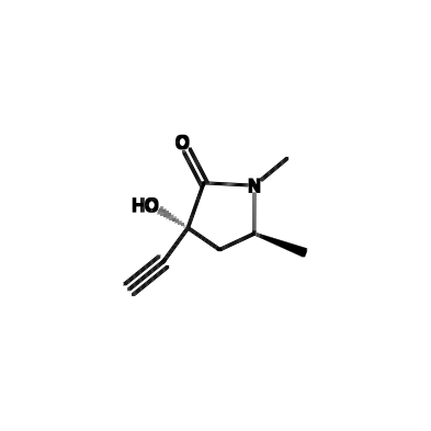 C#C[C@]1(O)C[C@H](C)N(C)C1=O